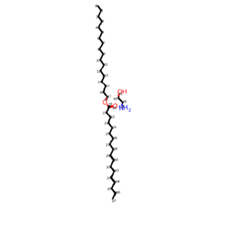 CCCCCCCCCCCCCCCCCCOC(=O)CCCCCCCCCCCCCCCCC.NCCO